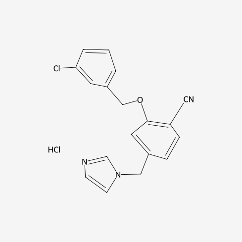 Cl.N#Cc1ccc(Cn2ccnc2)cc1OCc1cccc(Cl)c1